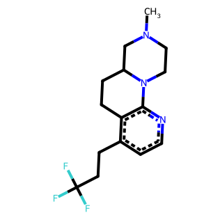 CN1CCN2c3nccc(CCC(F)(F)F)c3CCC2C1